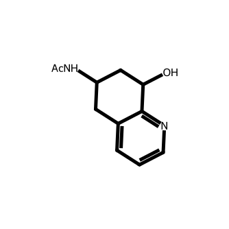 CC(=O)NC1Cc2cccnc2C(O)C1